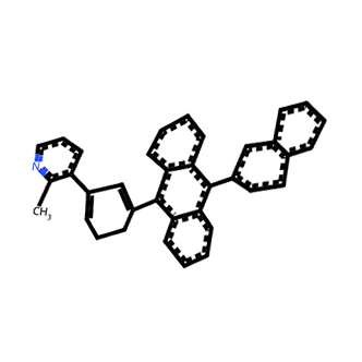 Cc1ncccc1C1=CCCC(c2c3ccccc3c(-c3ccc4ccccc4c3)c3ccccc23)=C1